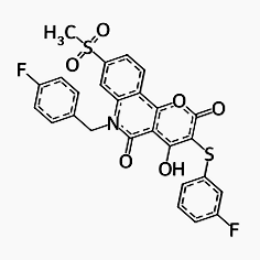 CS(=O)(=O)c1ccc2c3oc(=O)c(Sc4cccc(F)c4)c(O)c3c(=O)n(Cc3ccc(F)cc3)c2c1